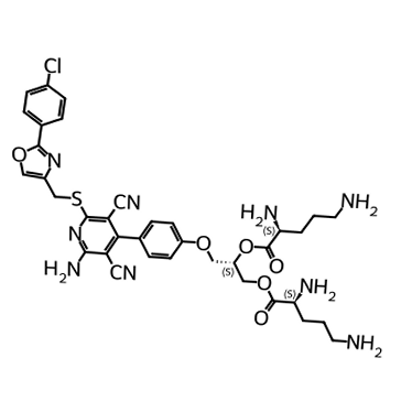 N#Cc1c(N)nc(SCc2coc(-c3ccc(Cl)cc3)n2)c(C#N)c1-c1ccc(OC[C@@H](COC(=O)[C@@H](N)CCCN)OC(=O)[C@@H](N)CCCN)cc1